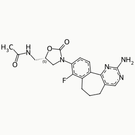 CC(=O)NC[C@H]1CN(c2ccc3c(c2F)CCCc2cnc(N)nc2-3)C(=O)O1